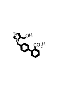 O=C(O)c1ccccc1-c1ccc(Cn2cncc2CO)cc1